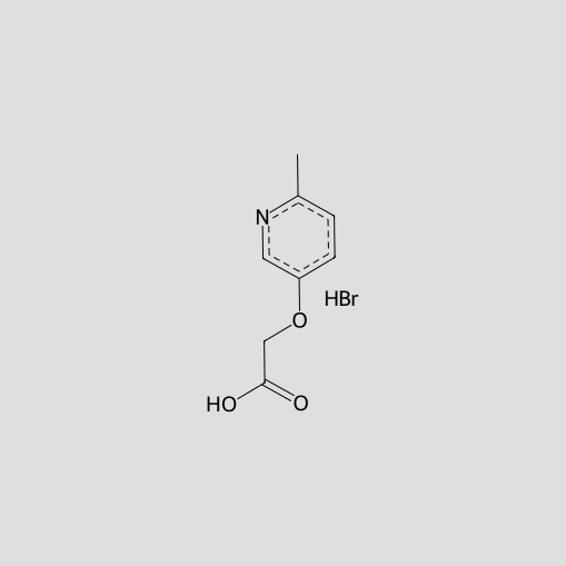 Br.Cc1ccc(OCC(=O)O)cn1